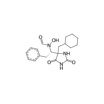 O=CN(O)[C@@H](Cc1ccccc1)C1(CC2CCCCC2)NC(=O)NC1=O